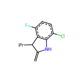 C=C1Nc2c(Cl)ccc(F)c2C1C(C)C